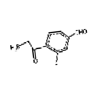 BCC(=O)c1ccc(C=O)cc1F